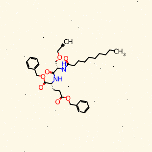 C#CCOC[C@H](NC(=O)CCCCCCCCC)C(=O)N[C@H](CCC(=O)OCc1ccccc1)C(=O)OCc1ccccc1